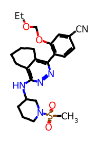 CCOCOc1cc(C#N)ccc1-c1nnc(NC2CCCN(S(C)(=O)=O)C2)c2c1CCCC2